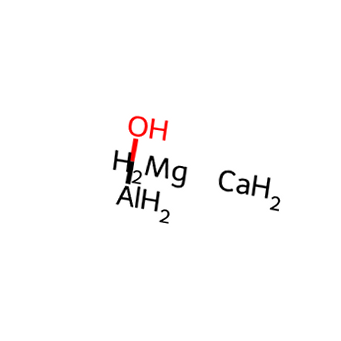 [CaH2].[MgH2].[OH][AlH2]